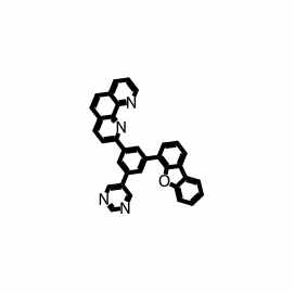 c1cnc2c(c1)ccc1ccc(-c3cc(-c4cncnc4)cc(-c4cccc5c4oc4ccccc45)c3)nc12